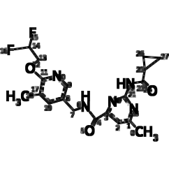 Cc1cc(C(=O)NCc2cnc(OCC(F)F)c(C)c2)nc(NC(=O)C2CC2)n1